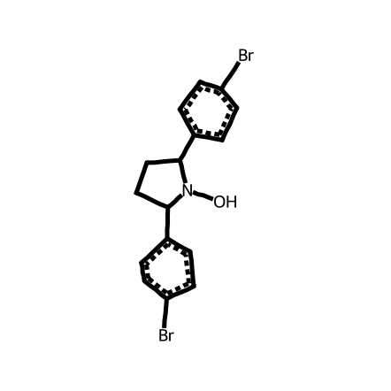 ON1C(c2ccc(Br)cc2)CCC1c1ccc(Br)cc1